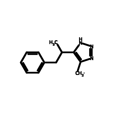 [CH2]c1nn[nH]c1C(C)Cc1ccccc1